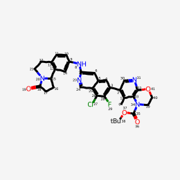 Cc1c(-c2cc3cc(Nc4ccc5c(c4)C4CCC(=O)N4CC5)ncc3c(Cl)c2F)cnc2c1N(C(=O)OC(C)(C)C)CCO2